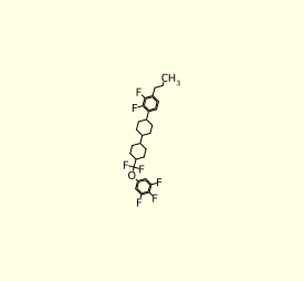 CCCc1ccc(C2CCC(C3CCC(C(F)(F)Oc4cc(F)c(F)c(F)c4)CC3)CC2)c(F)c1F